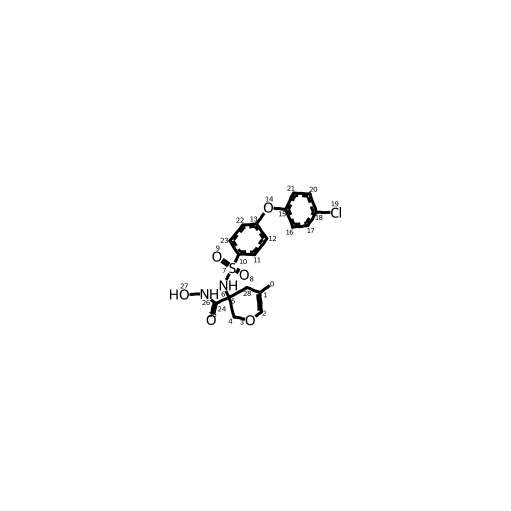 CC1=COCC(NS(=O)(=O)c2ccc(Oc3ccc(Cl)cc3)cc2)(C(=O)NO)C1